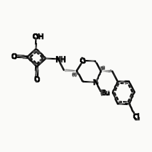 CCC(C)N1C[C@H](CNc2c(O)c(=O)c2=O)OC[C@@H]1Cc1ccc(Cl)cc1